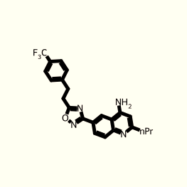 CCCc1cc(N)c2cc(-c3noc(CCc4ccc(C(F)(F)F)cc4)n3)ccc2n1